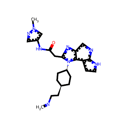 C=NCC[C@H]1CC[C@H](n2c(CC(=O)Nc3cnn(C)c3)nc3cnc4[nH]ccc4c32)CC1